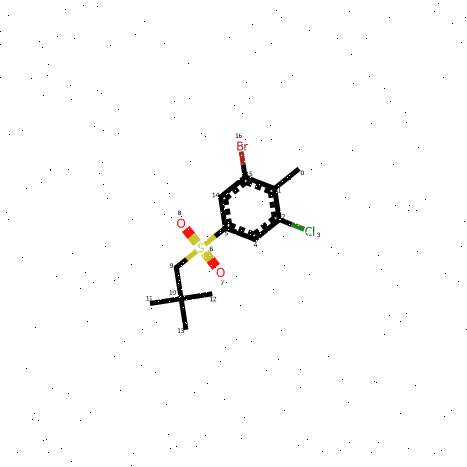 Cc1c(Cl)cc(S(=O)(=O)CC(C)(C)C)cc1Br